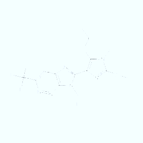 CCSc1c(-c2nc3cc(C(F)(F)F)nnc3n2C)n[c]([Zn][Cl])n1C.[Cl-].[Li+]